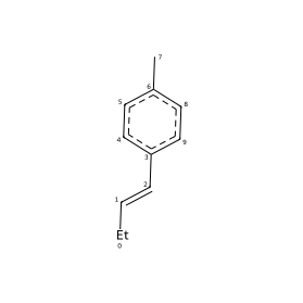 [CH2]C/C=C/c1ccc(C)cc1